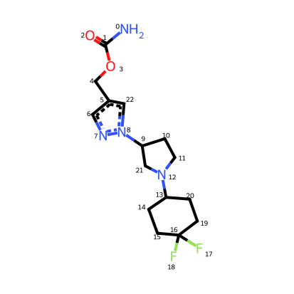 NC(=O)OCc1cnn(C2CCN(C3CCC(F)(F)CC3)C2)c1